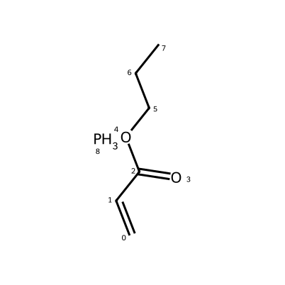 C=CC(=O)OCCC.P